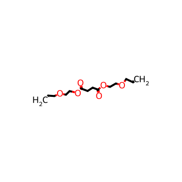 C=CCOCCOC(=O)CCC(=O)OCCOCC=C